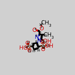 CCOC(=O)c1nn(-c2cc(S(=O)(=O)O)ccc2S(=O)(=O)O)c(O)c1C